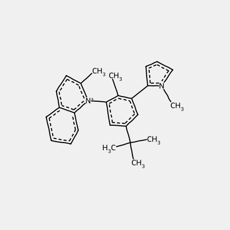 Cc1c(-c2cccn2C)cc(C(C)(C)C)cc1-[n+]1c(C)ccc2ccccc21